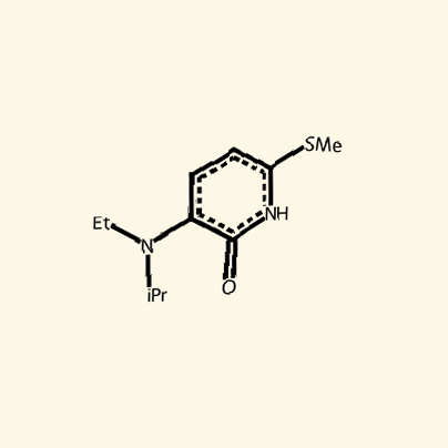 CCN(c1ccc(SC)[nH]c1=O)C(C)C